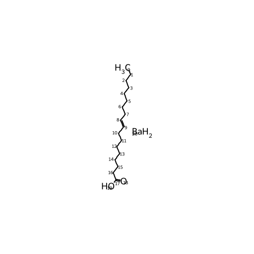 CCCCCCCCC=CCCCCCCCC(=O)O.[BaH2]